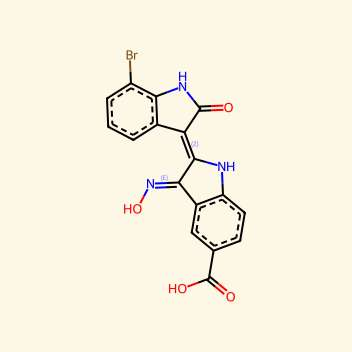 O=C1Nc2c(Br)cccc2/C1=C1/Nc2ccc(C(=O)O)cc2/C1=N\O